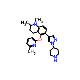 Cc1cccc(Oc2c(-c3cnn(C4CCNCC4)c3)ccc3c2CCC(C)N3C)n1